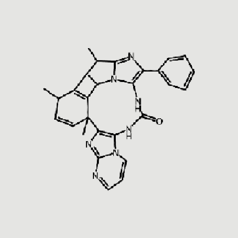 CC1C=CC2(C)C3=C1C(C)c1nc(-c4ccccc4)c(n1C3C)NC(=O)Nc1c2nc2ncccn12